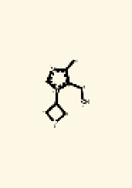 Cc1ncn(C2CSC2)c1CO